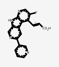 O=C(O)/C=C/c1c(F)cnc2[nH]c3cnc(-c4cccnc4)cc3c12